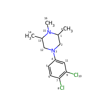 CC1CN(c2ccc(Cl)c(Cl)c2)CC(C)N1C